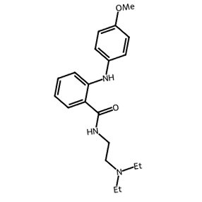 CCN(CC)CCNC(=O)c1ccccc1Nc1ccc(OC)cc1